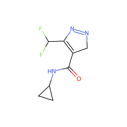 O=C(NC1CC1)C1=C(C(F)F)N=NC1